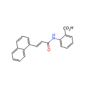 O=C(C=Cc1cccc2ccccc12)Nc1ccccc1C(=O)O